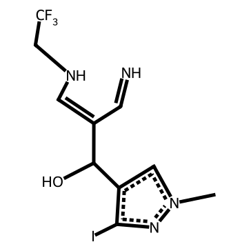 Cn1cc(C(O)/C(C=N)=C/NCC(F)(F)F)c(I)n1